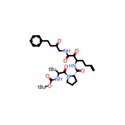 C=CCCC(NC(=O)[C@@H]1CCCN1C(=O)C(NC(=O)OC(C)(C)C)C(C)(C)C)C(=O)C(=O)NCC(=O)CCc1ccccc1